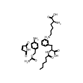 CCCCCC(=O)NC(Cc1ccccc1)C(=O)O.NC(=O)OCc1ccc(N)cc1.NCCCCC(N)C(=O)O.O=C1C=CC(=O)N1